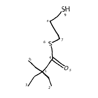 CC(C)(C)C(=O)SCCS